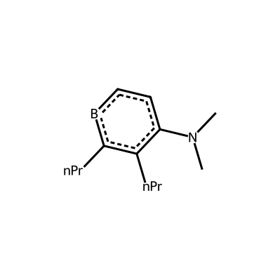 CCCc1bccc(N(C)C)c1CCC